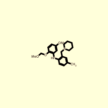 COCOc1ccc(OC)cc1Pc1ccc(C)cc1CN1CCCCC1